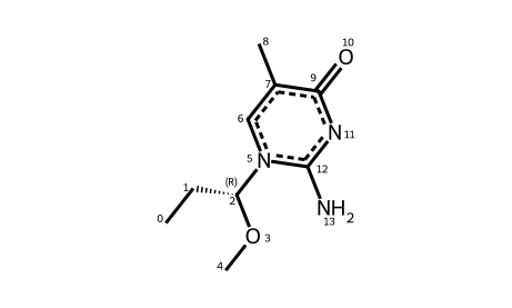 CC[C@@H](OC)n1cc(C)c(=O)nc1N